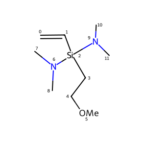 C=C[Si](CCOC)(N(C)C)N(C)C